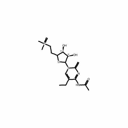 C=C1N=C(NC(C)=O)C(CC)=CN1C1OC(CCP(=C)(C)C)[C@@H](O)[C@H]1O